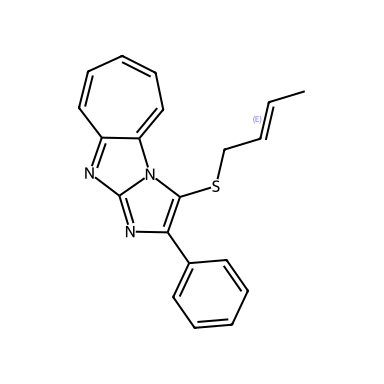 C/C=C/CSc1c(-c2ccccc2)nc2nc3cccccc3n12